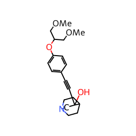 COCC(COC)Oc1ccc(C#CC2(O)CN3CCC2CC3)cc1